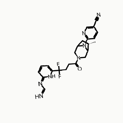 C[C@H]1CC2CN(C(=O)CCC(F)(F)c3ccc/c(=N/C=N)[nH]3)CC1N2c1ccc(C#N)cn1